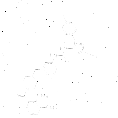 COc1cccc(C(=O)N2CCC(Cc3cccc(NC(=O)Nc4cc(C(C)(C)C)nn4-c4ccc(C)cc4)c3)CC2)c1OC